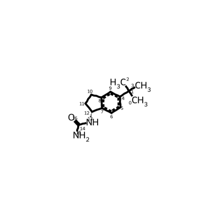 CC(C)(C)c1ccc2c(c1)CC[C@H]2NC(N)=O